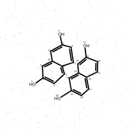 Oc1ccc2ccc(O)cc2c1.Oc1ccc2ccc(O)cc2c1